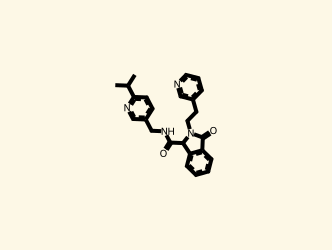 CC(C)c1ccc(CNC(=O)C2c3ccccc3C(=O)N2CCc2cccnc2)cn1